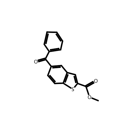 COC(=O)c1cc2cc(C(=O)c3ccccc3)ccc2s1